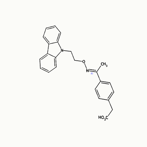 C/C(=N\OCCn1c2ccccc2c2ccccc21)c1ccc(CC(=O)O)cc1